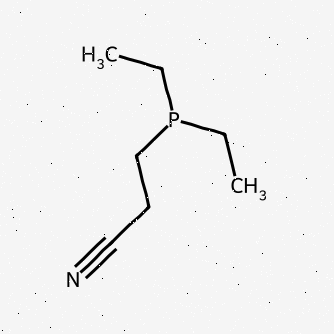 CCP(CC)CCC#N